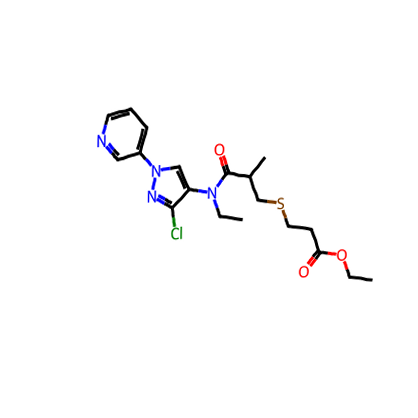 CCOC(=O)CCSCC(C)C(=O)N(CC)c1cn(-c2cccnc2)nc1Cl